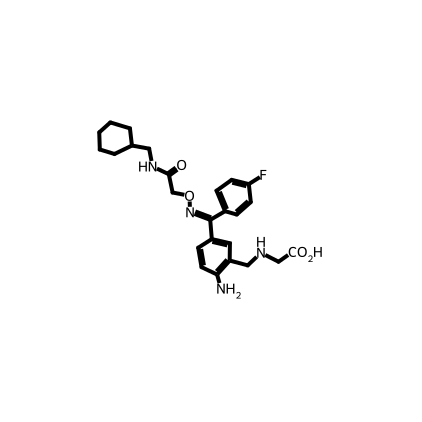 Nc1ccc(C(=NOCC(=O)NCC2CCCCC2)c2ccc(F)cc2)cc1CNCC(=O)O